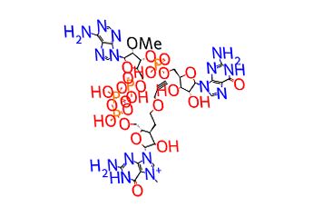 C#CCOCC[C@H]1[C@@H](O)[C@H](n2c[n+](C)c3c(=O)[nH]c(N)nc32)O[C@@H]1COP(=O)(O)OP(=O)(O)OP(=O)(O)OC[C@H]1O[C@@H](n2cnc3c(N)ncnc32)[C@H](OC)[C@@H]1OP(=O)(O)OC[C@H]1O[C@@H](n2cnc3c(=O)[nH]c(N)nc32)[C@H](O)[C@@H]1O